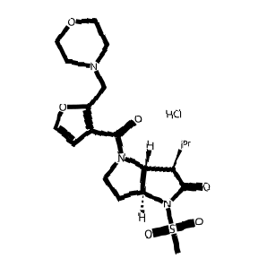 CC(C)[C@H]1C(=O)N(S(C)(=O)=O)[C@H]2CCN(C(=O)c3ccoc3CN3CCOCC3)[C@H]12.Cl